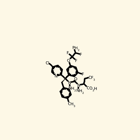 Cc1ccc(C[C@](c2cc(F)cc(OC(F)(F)C(F)P)c2)(c2ccc(Cl)cn2)N(N)C(=O)N(N)C(CC(F)(F)F)C(=O)O)cc1